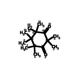 CC1(C)C(=O)C(C)(C)C(C)(C)C(C)(C)C1=O